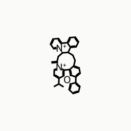 C=C1CC2C(CCc3ccc4c(oc5ccccc54)c3-c3cc(C(C)C)cc[n+]31)c1ccccc1-c1cccc[n+]12